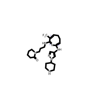 O=C1CCCCN1CCCNC1=N/C(Nc2cnn(C3CCNCC3)c2)=C\CC/C=C\1C(F)(F)F